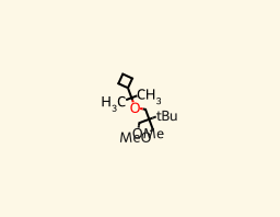 COCC(COC)(COC(C)(C)C1CCC1)C(C)(C)C